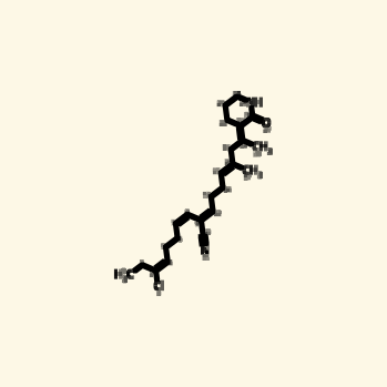 CC/C(Cl)=C\CC/C=C\C(C#N)=C/CC/C=C(\C)C/C(C)=C1\CCCNC1=O